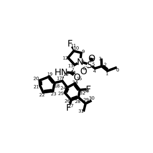 C/C=C(\C)CS(=O)(=O)N1C[C@H](F)C[C@H]1C(=O)N[C@@H](c1ccccc1)c1cc(F)c(C(C)C)c(F)c1